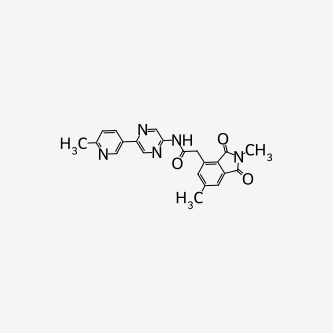 Cc1cc(CC(=O)Nc2cnc(-c3ccc(C)nc3)cn2)c2c(c1)C(=O)N(C)C2=O